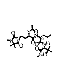 CCC[C@H](NC(=O)C(CCN1C(=O)N(C)C(C)(C)C1=O)SC(C)=O)C(=O)N[C@H](C(=O)NC)C(C)(C)C